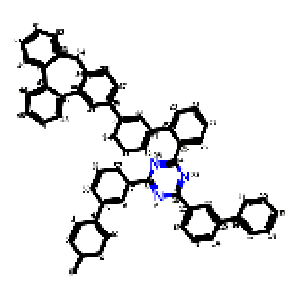 CC1C=CC(C2=CC(c3nc(-c4cccc(-c5ccccc5)c4)nc(-c4ccccc4C4=CCCC(c5ccc6c(c5)-c5ccccc5-c5ccccc5C6)=C4)n3)CC=C2)=CC1